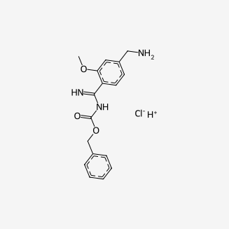 COc1cc(CN)ccc1C(=N)NC(=O)OCc1ccccc1.[Cl-].[H+]